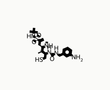 C=C(C[C@@H](NC)[C@H](C)C(CS)NC(=O)NCc1cccc(N)c1)S(=O)(=O)NC(C)(C)C